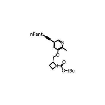 CCCCCC#Cc1cnc(C)c(OC[C@@H]2CCN2C(=O)OC(C)(C)C)c1